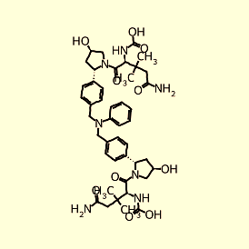 CC(C)(CC(N)=O)[C@H](NC(=O)O)C(=O)N1C[C@H](O)C[C@H]1c1ccc(CN(Cc2ccc([C@@H]3C[C@@H](O)CN3C(=O)[C@@H](NC(=O)O)C(C)(C)CC(N)=O)cc2)c2ccccc2)cc1